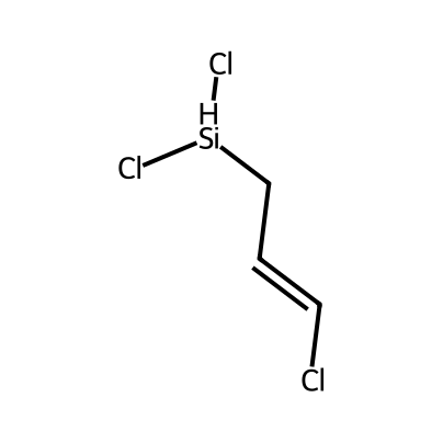 ClC=CC[SiH](Cl)Cl